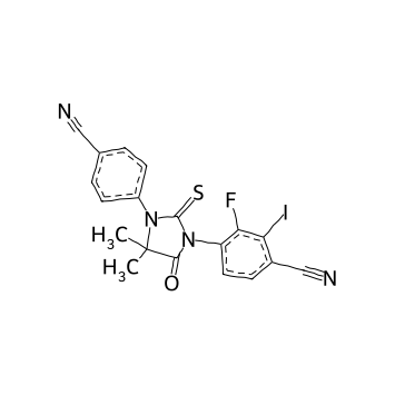 CC1(C)C(=O)N(c2ccc(C#N)c(I)c2F)C(=S)N1c1ccc(C#N)cc1